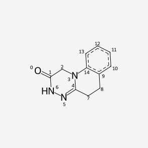 O=C1CN2C(=NN1)CCc1ccccc12